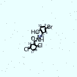 O=C(N/N=C/c1cc(Br)ccc1O)c1cc(Cl)ccc1Cl